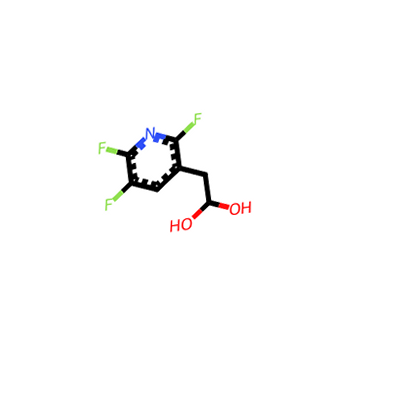 OC(O)Cc1cc(F)c(F)nc1F